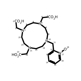 O=C(O)CN1CCN(CC(=O)O)CCN(Cc2cccc[n+]2[O-])CCN(CC(=O)O)CC1